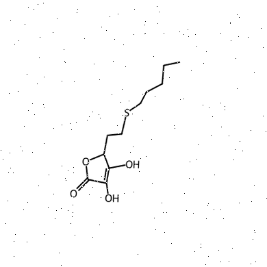 CCCCCSCCC1OC(=O)C(O)=C1O